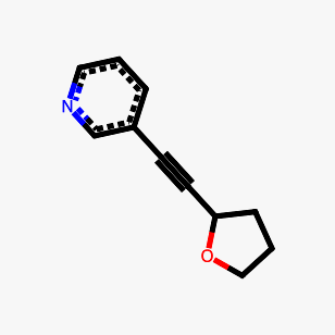 C(#CC1CCCO1)c1cccnc1